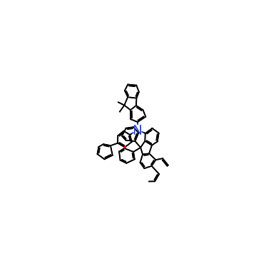 C=Cc1c(/C=C\C)ccc2c1-c1cccc(N(c3ccc(-c4ccccc4)cc3)c3ccc4c(c3)C(C)(C)c3ccccc3-4)c1C2(c1ccccc1)c1ccccc1